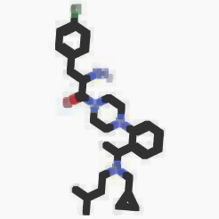 CC(C)CCN(CC1CC1)C(C)c1ccccc1N1CCN(C(=O)C(N)Cc2ccc(Cl)cc2)CC1